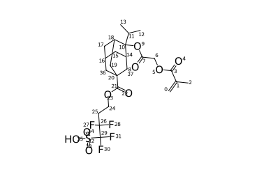 C=C(C)C(=O)OCC(=O)OC1(C(C)C)C2CC3CC1CC(C(=O)OCCC(F)(F)C(F)(F)S(=O)(=O)O)(C3)C2